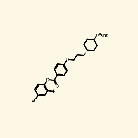 CCCCC[C@H]1CC[C@H](CCCOc2ccc(C(=O)Oc3ccc(CC)cc3F)cc2)CC1